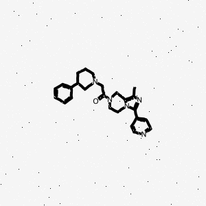 Cc1nc(-c2ccncc2)n2c1CN(C(=O)CN1CCCC(c3ccccc3)C1)CC2